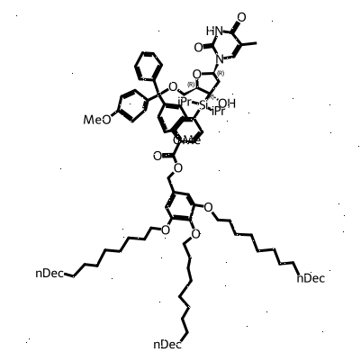 CCCCCCCCCCCCCCCCCCOc1cc(COC(=O)c2ccc([Si](C(C)C)(C(C)C)[C@]3(O)C[C@H](n4cc(C)c(=O)[nH]c4=O)O[C@@H]3COC(c3ccccc3)(c3ccc(OC)cc3)c3ccc(OC)cc3)cc2)cc(OCCCCCCCCCCCCCCCCCC)c1OCCCCCCCCCCCCCCCCCC